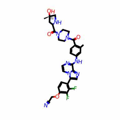 Cc1cc(Nc2nccn3c(-c4ccc(OCC#N)c(F)c4F)cnc23)ccc1C(=O)N1CCN(C(=O)C2C[C@](C)(O)CN2)CC1